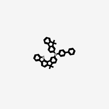 CC1(C)c2ccccc2-c2ccc(N(c3ccc(-c4ccccc4)cc3)c3ccc4c(c3)-c3c(ccc5c3sc3ccccc35)C4(C)C)cc21